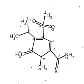 C=C1C(C(C)C)=C(S(C)(=O)=O)C=C(C(N)=O)C1C